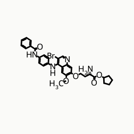 COc1cc2c(Nc3ccc(NC(=O)c4ccccc4)cc3)c(Br)cnc2cc1OCC[C@H](N)C(=O)OC1CCCC1